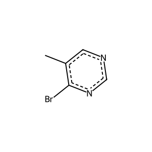 Cc1cncnc1Br